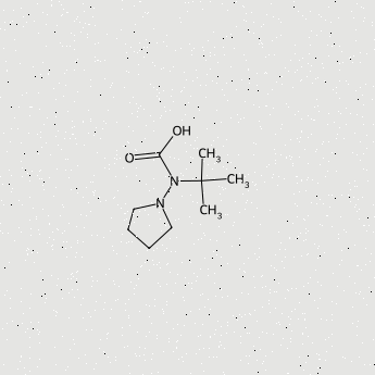 CC(C)(C)N(C(=O)O)N1CCCC1